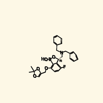 CC1(C)OC=C(COc2ccc(F)c3c2B(O)O[C@@H]3CN(Cc2ccccc2)Cc2ccccc2)O1